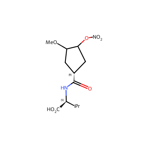 COC1C[C@@H](C(=O)N[C@H](C(=O)O)C(C)C)CC1O[N+](=O)[O-]